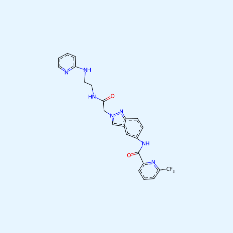 O=C(Cn1cc2cc(NC(=O)c3cccc(C(F)(F)F)n3)ccc2n1)NCCNc1ccccn1